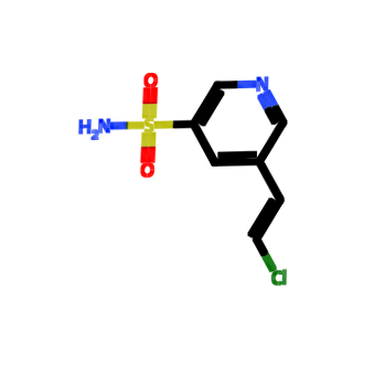 NS(=O)(=O)c1cncc(/C=C/Cl)c1